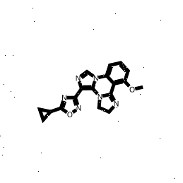 COc1cccc2c1C1=NCCN1c1c(-c3noc(C4CC4)n3)ncn1-2